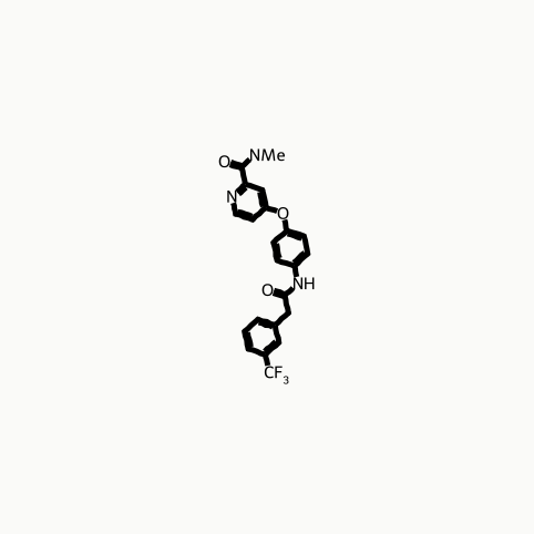 CNC(=O)c1cc(Oc2ccc(NC(=O)Cc3cccc(C(F)(F)F)c3)cc2)ccn1